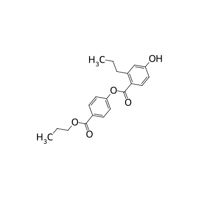 CCCOC(=O)c1ccc(OC(=O)c2ccc(O)cc2CCC)cc1